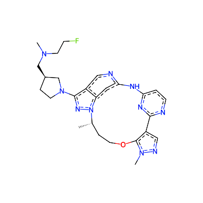 C[C@H]1CCOc2c(cnn2C)-c2nccc(n2)Nc2cc3c(cn2)c(N2CC[C@@H](CN(C)CCF)C2)nn31